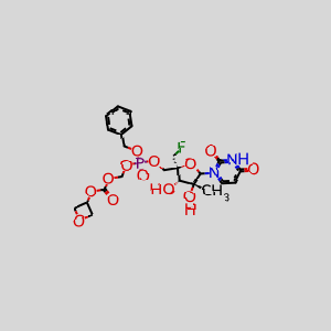 C[C@]1(O)C(n2ccc(=O)[nH]c2=O)O[C@](CF)(COP(=O)(OCOC(=O)OC2COC2)OCc2ccccc2)[C@H]1O